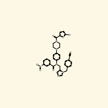 N#Cc1ccc(Cn2cncc2CN(C(=O)c2cccc([N+](=O)[O-])c2)c2ccc(N3CCN(C(=O)c4ccc(Cl)s4)CC3)cc2)cc1